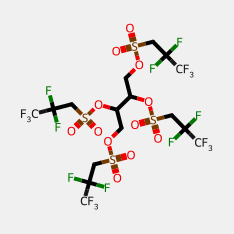 O=S(=O)(CC(F)(F)C(F)(F)F)OCC(OS(=O)(=O)CC(F)(F)C(F)(F)F)C(COS(=O)(=O)CC(F)(F)C(F)(F)F)OS(=O)(=O)CC(F)(F)C(F)(F)F